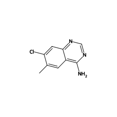 Cc1cc2c(N)ncnc2cc1Cl